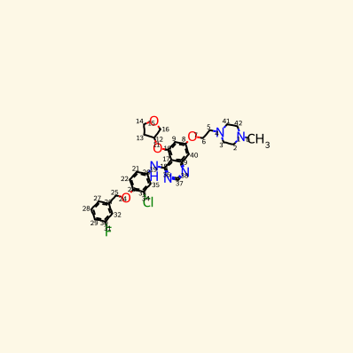 CN1CCN(CCOc2cc(OC3CCOC3)c3c(Nc4ccc(OCc5cccc(F)c5)c(Cl)c4)ncnc3c2)CC1